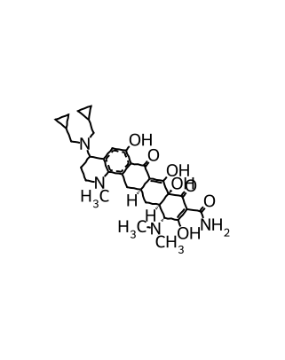 CN1CCC(N(CC2CC2)CC2CC2)c2cc(O)c3c(c21)C[C@@H]1C[C@@H]2[C@@H](N(C)C)C(O)=C(C(N)=O)C(=O)[C@@]2(O)C(O)=C1C3=O